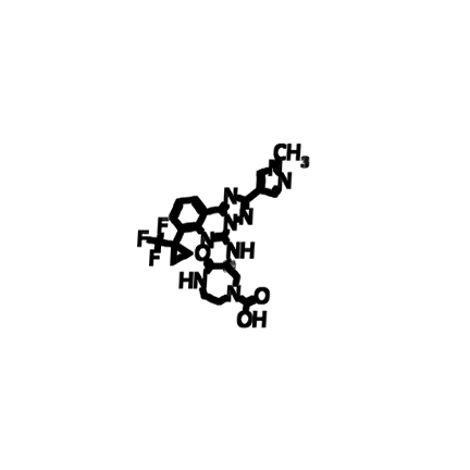 Cn1cc(-c2nc3c4cccc(C5(C(F)(F)F)CC5)c4nc(N[C@@H]4CN(C(=O)O)CCNC4=O)n3n2)cn1